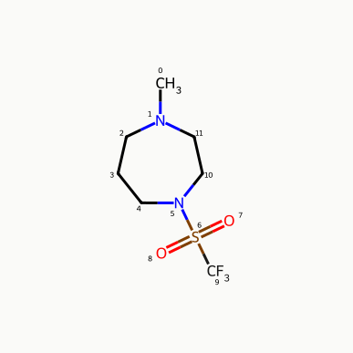 CN1CCCN(S(=O)(=O)C(F)(F)F)CC1